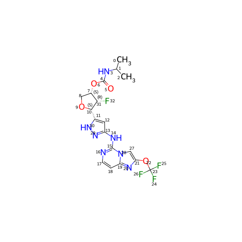 CC(C)NC(=O)O[C@H]1CO[C@@H](c2cc(Nc3nccc4nc(OC(F)(F)F)cn34)n[nH]2)[C@H]1F